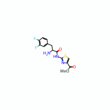 COC(=O)c1csc(NC(=O)C(N)Cc2ccc(F)c(F)c2)n1